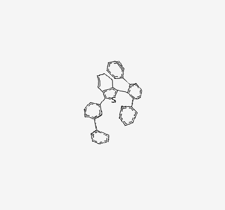 c1cccc(-c2cccc(-c3ccccc3)c2-c2sc(-c3cccc(-c4ccccc4)c3)c3c2CCC=C3)c#1